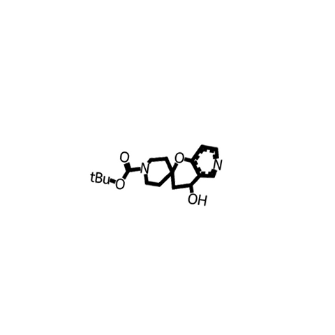 CC(C)(C)OC(=O)N1CCC2(CC1)CC(O)c1cnccc1O2